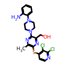 Cc1nc(N2CCN(c3ccccc3N)CC2)c(CO)nc1Sc1ccnc(Cl)c1Cl